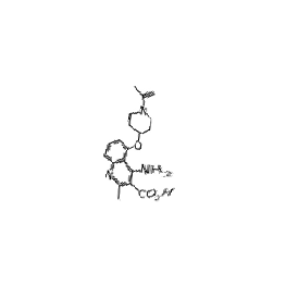 C=C(C)N1CCC(Oc2cccc3nc(C)c(C(=O)O)c(N)c23)CC1